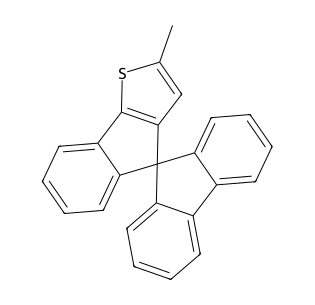 Cc1cc2c(s1)-c1ccccc1C21c2ccccc2-c2ccccc21